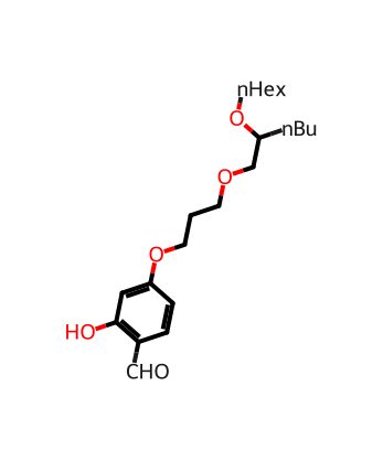 CCCCCCOC(CCCC)COCCCOc1ccc(C=O)c(O)c1